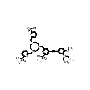 CCN(CC)c1cc(C#Cc2cc(CN3CCN(Cc4cccc(P(C)(=O)O)n4)CCN(Cc4cccc(P(C)(=O)O)n4)CC3)nc(P(C)(=O)O)c2)ccc1OC